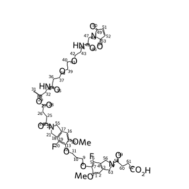 COc1cc2c(c(F)c1OCCCOc1c(OC)cc3c(c1F)CN(C(=O)CCC(=O)O[C@@H](C)CNC(=O)CCOCCOCCNC(=O)CN1C(=O)C=CC1=O)C3)CN(C(=O)CCC(=O)O)C2